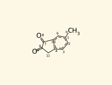 Cc1ccc2c(c1)C(=O)C(=O)C2